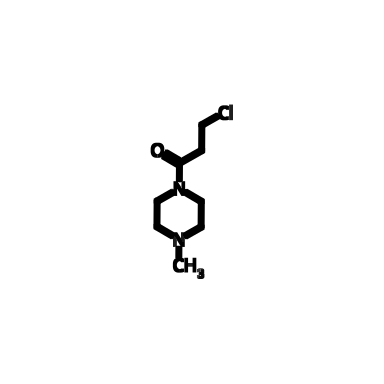 CN1CCN(C(=O)CCCl)CC1